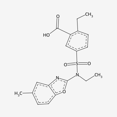 CCc1ccc(S(=O)(=O)N(CC)c2nc3cc(C)ccc3o2)cc1C(=O)O